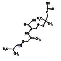 C=C(CO/N=C/C(C)C)NC(CSSC(C)(C)CCC(=O)O)C(=O)O